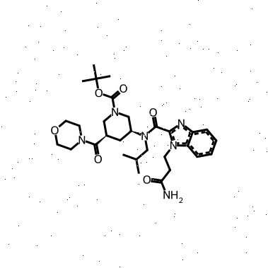 CC(C)CN(C(=O)c1nc2ccccc2n1CCC(N)=O)[C@H]1C[C@@H](C(=O)N2CCOCC2)CN(C(=O)OC(C)(C)C)C1